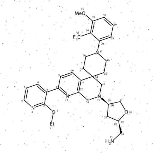 CCOc1ncccc1-c1ccc2c(n1)CN([C@H]1CO[C@@H](CN)C1)CC21CCN(c2cccc(OC)c2C(F)(F)F)CC1